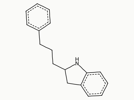 c1ccc(CCCC2Cc3ccccc3N2)cc1